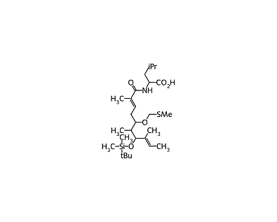 C/C=C(\C)C(O[Si](C)(C)C(C)(C)C)C(C)C(C/C=C(\C)C(=O)NC(CC(C)C)C(=O)O)OCSC